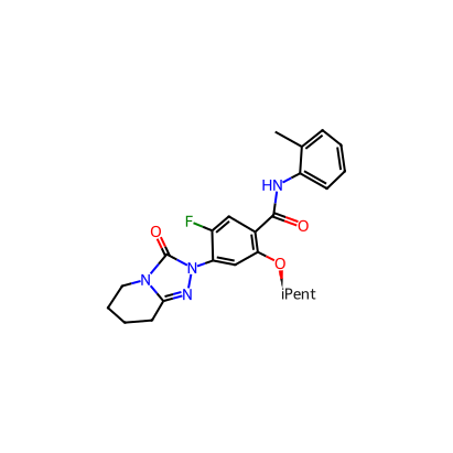 CCC[C@H](C)Oc1cc(-n2nc3n(c2=O)CCCC3)c(F)cc1C(=O)Nc1ccccc1C